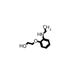 CCNc1ccccc1OCCO